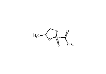 CC(=O)P1(=O)OCC(C)O1